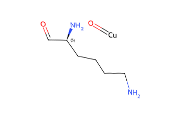 NCCCC[C@H](N)C=O.[O]=[Cu]